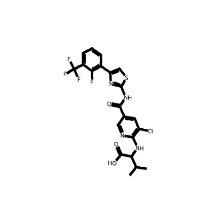 CC(C)C(Nc1ncc(C(=O)Nc2nc(-c3cccc(C(F)(F)F)c3F)cs2)cc1Cl)C(=O)O